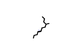 CCC/C=C/CCC(C)CCC